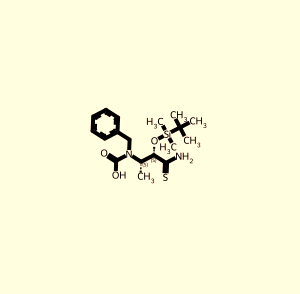 C[C@@H]([C@H](O[Si](C)(C)C(C)(C)C)C(N)=S)N(Cc1ccccc1)C(=O)O